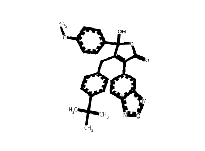 COc1ccc(C2(O)OC(=O)C(c3ccc4nonc4c3)=C2Cc2ccc(C(C)(C)C)cc2)cc1